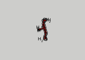 C=C(N=O)OCOCCOc1ccc(-c2ccc(-c3ccc(-c4ccc(OCCOC(=O)C(=C)CO)cc4)c(C)c3CCCCCCC(F)(F)F)cc2)cc1